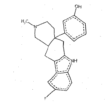 CN1CCC2(c3cccc(O)c3)Cc3[nH]c4ccc(F)cc4c3CC2C1